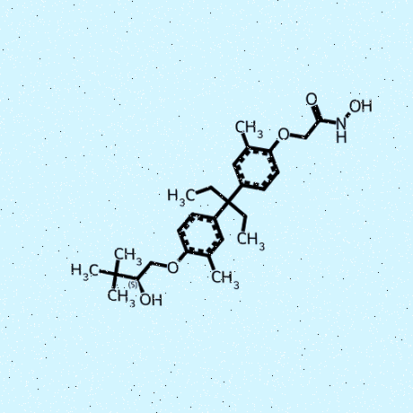 CCC(CC)(c1ccc(OCC(=O)NO)c(C)c1)c1ccc(OC[C@@H](O)C(C)(C)C)c(C)c1